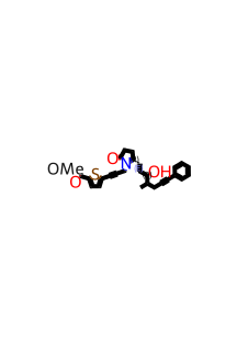 COC(=O)c1ccc(C#CCN2C(=O)CC[C@@H]2/C=C/[C@H](O)C(C)CC#Cc2ccccc2)s1